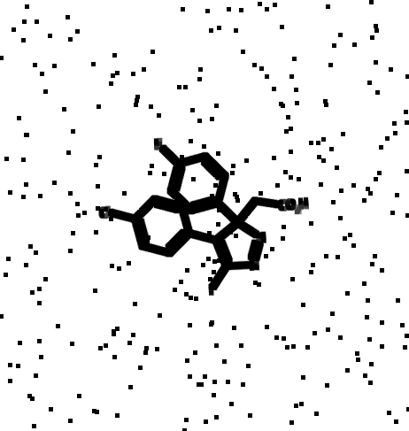 O=C(O)CC1(c2ccc(F)cc2)N=NC(I)=C1c1ccc(Cl)cc1